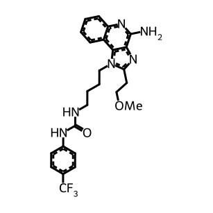 COCCc1nc2c(N)nc3ccccc3c2n1CCCCNC(=O)Nc1ccc(C(F)(F)F)cc1